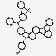 CC1(C)c2ccccc2-c2cc(N(c3ccccc3)c3ccc4c(c3)c3c5ccc6c(c5ccc3n4-c3ccc(C#N)cc3)c3cccc4c5ccccc5n6c43)ccc21